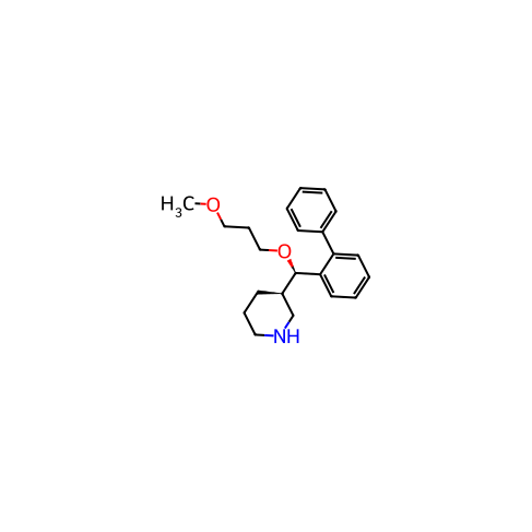 COCCCO[C@@H](c1ccccc1-c1ccccc1)[C@@H]1CCCNC1